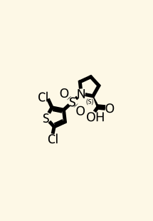 O=C(O)[C@@H]1CCCN1S(=O)(=O)c1cc(Cl)sc1Cl